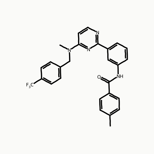 Cc1ccc(C(=O)Nc2cccc(-c3nccc(N(C)Cc4ccc(C(F)(F)F)cc4)n3)c2)cc1